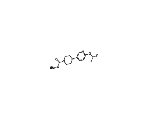 CC(C)(C)OC(=O)N1CCN(c2ccc(OC(F)F)nc2)CC1